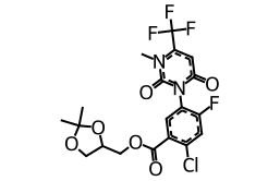 Cn1c(C(F)(F)F)cc(=O)n(-c2cc(C(=O)OCC3COC(C)(C)O3)c(Cl)cc2F)c1=O